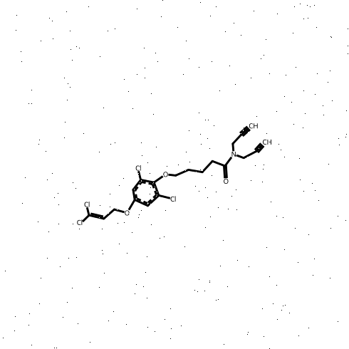 C#CCN(CC#C)C(=O)CCCCOc1c(Cl)cc(OCC=C(Cl)Cl)cc1Cl